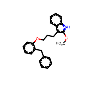 O=C(O)Oc1[nH]c2ccccc2c1CCCOc1ccccc1Cc1ccccc1